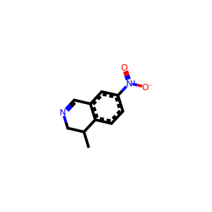 CC1CN=Cc2cc([N+](=O)[O-])ccc21